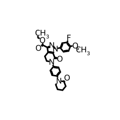 CCOC(=O)c1nn(-c2ccc(OC)c(F)c2)c2c1CCN(c1ccc(N3CCCCC3=O)cc1)C2=O